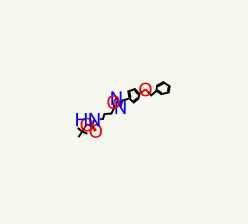 CC(C)(C)OC(=O)NCCCc1nc(-c2ccc(OCc3ccccc3)cc2)no1